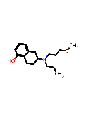 CCCN(CCCSC)C1CCc2c(O)cccc2C1